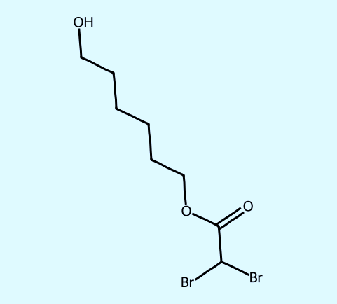 O=C(OCCCCCCO)C(Br)Br